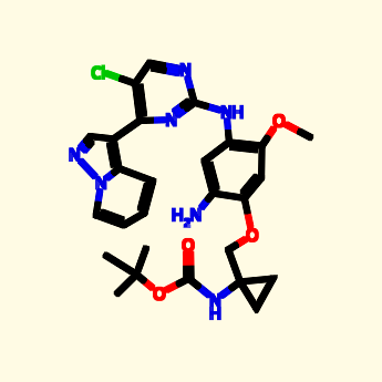 COc1cc(OCC2(NC(=O)OC(C)(C)C)CC2)c(N)cc1Nc1ncc(Cl)c(-c2cnn3ccccc23)n1